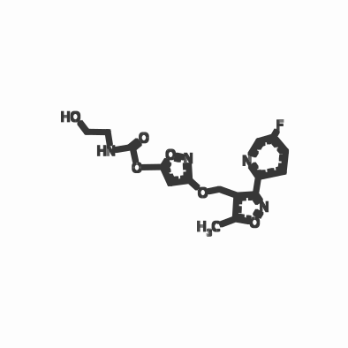 Cc1onc(-c2ccc(F)cn2)c1COc1cc(OC(=O)NCCO)on1